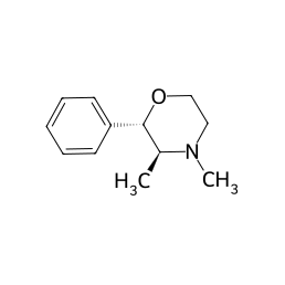 C[C@H]1[C@H](c2ccccc2)OCCN1C